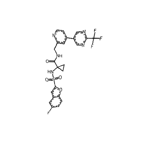 O=C(NCc1cc(-c2cnc(C(F)(F)F)nc2)ccn1)C1(NS(=O)(=O)c2cc3cc(F)ccc3o2)CC1